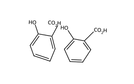 O=C(O)c1ccccc1O.O=C(O)c1ccccc1O